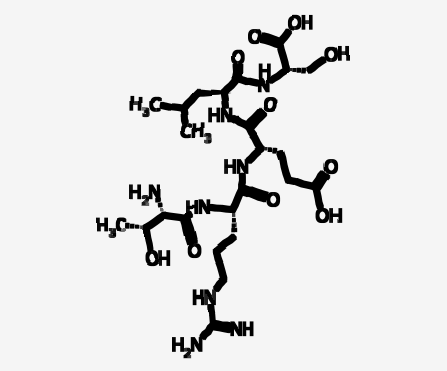 CC(C)C[C@H](NC(=O)[C@H](CCC(=O)O)NC(=O)[C@H](CCCNC(=N)N)NC(=O)[C@@H](N)[C@@H](C)O)C(=O)N[C@@H](CO)C(=O)O